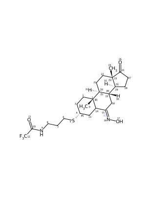 C[C@]12CC[C@@H](SCCCNC(=O)C(F)(F)F)CC1/C(=N/O)C[C@@H]1[C@@H]2CC[C@]2(C)C(=O)CC[C@@H]12